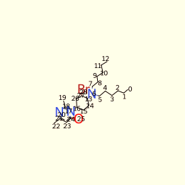 CCCCCCN(CCCCCC)C1CCC(n2c(C)nc(C)cc2=O)CC1Br